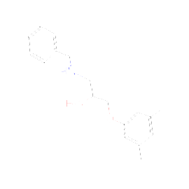 Cc1cc(C)cc(OCC(O)CNCc2ccccc2)c1